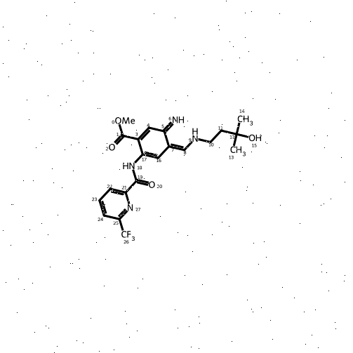 COC(=O)C1=CC(=N)/C(=C\NCCC(C)(C)O)C=C1NC(=O)c1cccc(C(F)(F)F)n1